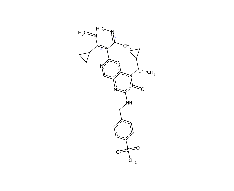 C=N/C(=C(\C(C)=N/C)c1ncc2nc(NCc3ccc(S(C)(=O)=O)cc3)c(=O)n([C@@H](C)C3CC3)c2n1)C1CC1